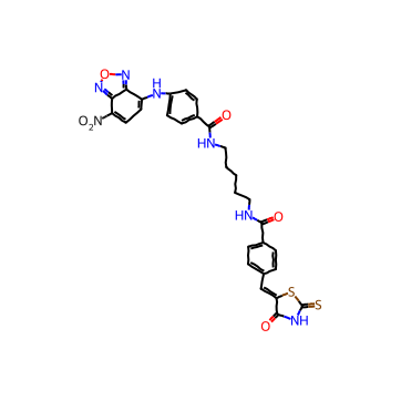 O=C1NC(=S)S/C1=C\c1ccc(C(=O)NCCCCCNC(=O)c2ccc(Nc3ccc([N+](=O)[O-])c4nonc34)cc2)cc1